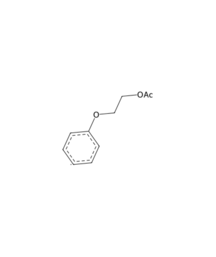 CC(=O)OCCOc1cc[c]cc1